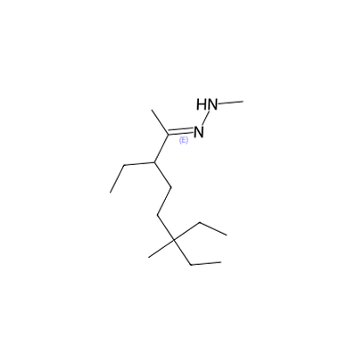 CCC(CCC(C)(CC)CC)/C(C)=N/NC